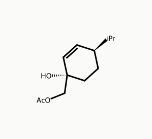 CC(=O)OC[C@@]1(O)C=C[C@@H](C(C)C)CC1